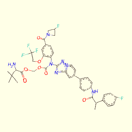 CC(C(=O)Nc1ccc(-c2ccn3nc(N(C(=O)OCOC(=O)C(N)C(C)(C)C)c4ccc(C(=O)N5CC(F)C5)cc4OCC(F)(F)F)nc3c2)cc1)c1ccc(F)cc1